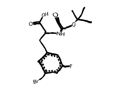 CC(C)(C)OC(=O)NC(Cc1cc(F)cc(Br)c1)C(=O)O